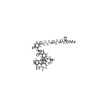 CC[C@@H]1C(C)CC=C(C2(Nc3cccc(C(=O)NCc4cc(OCCCCCOCCCOCC(=O)OC)ccc4F)c3)CCN(C)CC2)NC1c1ccncc1